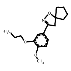 [CH2]CCOc1cc(C2=NOC3(CCCC3)C2)ccc1OC